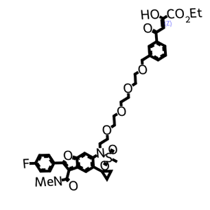 CCOC(=O)/C(O)=C/C(=O)c1cccc(COCCOCCOCCOCCN(c2cc3oc(-c4ccc(F)cc4)c(C(=O)NC)c3cc2C2CC2)S(C)(=O)=O)c1